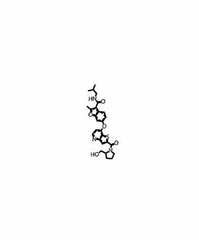 Cc1oc2cc(Oc3ccnc4cc(C(=O)N5CCCC5CO)sc34)ccc2c1C(=O)NCC(C)C